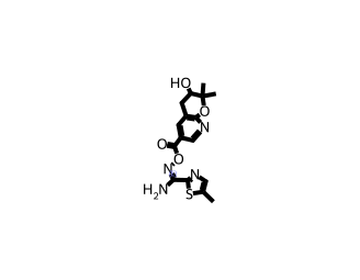 Cc1cnc(/C(N)=N\OC(=O)c2cnc3c(c2)CC(O)C(C)(C)O3)s1